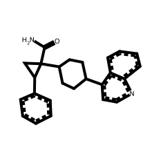 NC(=O)C1(C2CCC(c3ccnc4ccccc34)CC2)CC1c1ccccc1